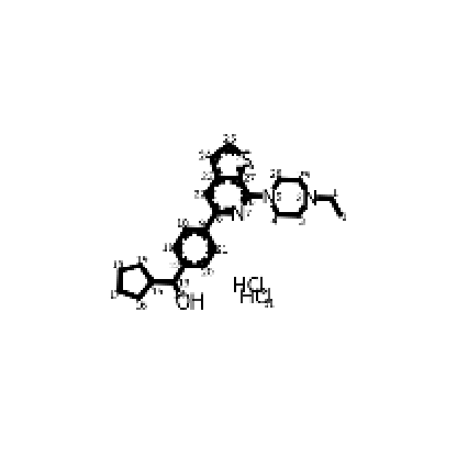 CCN1CCN(c2nc(-c3ccc(C(O)C4CCCC4)cc3)cc3ccsc23)CC1.Cl.Cl